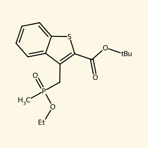 CCOP(C)(=O)Cc1c(C(=O)OC(C)(C)C)sc2ccccc12